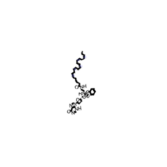 CC/C=C\C/C=C\C/C=C\C/C=C\C/C=C\CCCC(=O)NCCNP(=O)(OC[C@@H]1CCC(n2cnc3c(=O)nc[nH]c32)O1)Oc1ccccc1